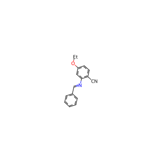 CCOc1ccc(C#N)c(N=Cc2ccccc2)c1